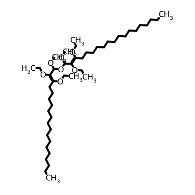 CCCCCCCCCCCCCCCCC(OCC)=C(OCC)C(OC)OC(OC)C(OCC)=C(CCCCCCCCCCCCCCCC)OCC